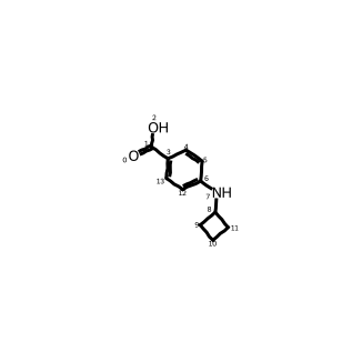 O=C(O)c1ccc(NC2CCC2)cc1